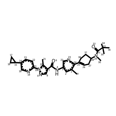 Cc1cc(NC(=O)c2cnn(-c3ccc(C4CC4)cn3)c2C)cnc1C1=CCC(N(C)C(=O)C(C)(C)C)CC1